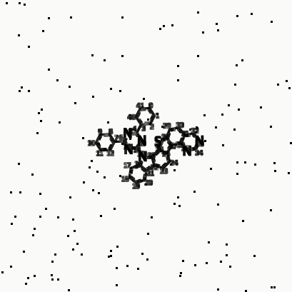 c1ccc(-c2nc(-c3ccccc3)nc(-n3c4ccccc4c4ccc5c(sc6ccc7cncnc7c65)c43)n2)cc1